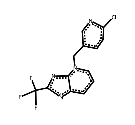 FC(F)(F)c1nc2cccn(Cc3ccc(Cl)nc3)c-2n1